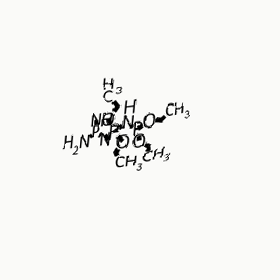 CCOP(NP(=NP(N)N)(OCC)OCC)OCC